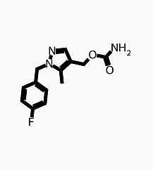 Cc1c(COC(N)=O)cnn1Cc1ccc(F)cc1